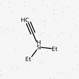 C#C[SiH](CC)CC